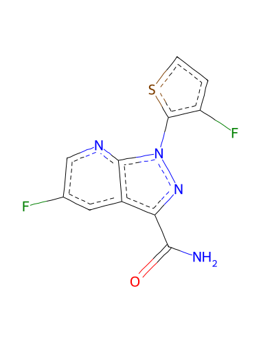 NC(=O)c1nn(-c2sccc2F)c2ncc(F)cc12